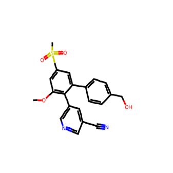 COc1cc(S(C)(=O)=O)cc(-c2ccc(CO)cc2)c1-c1cncc(C#N)c1